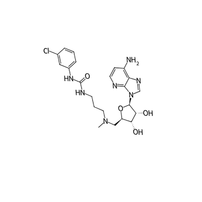 CN(CCCNC(=O)Nc1cccc(Cl)c1)C[C@H]1O[C@@H](n2cnc3c(N)ccnc32)[C@H](O)[C@@H]1O